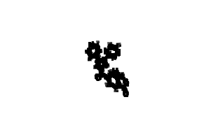 O=C(c1cc(-c2ccncc2)n(-c2cnccn2)n1)N1CCN2C(=O)OC[C@@H]2C1